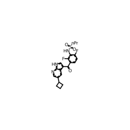 CCCS(=O)(=O)Nc1c(F)ccc(C(=O)c2c[nH]c3ncc(C4CCC4)cc23)c1F